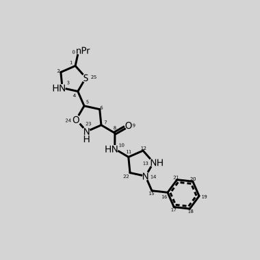 CCCC1CNC(C2CC(C(=O)NC3CNN(Cc4ccccc4)C3)NO2)S1